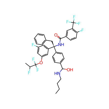 CCCCNC(O)c1ccc([C@@](Cc2ccccc2)(NC(=O)c2ccc(F)c(C(F)(F)F)c2)c2cc(F)cc(OC(F)(F)C(C)F)c2)cc1